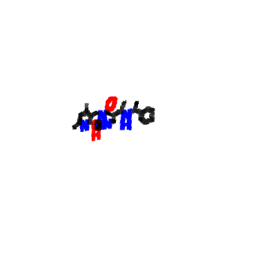 C/C(NC(C)c1ccccc1)=C(/C=N)C(=O)NCc1c(C)cc(C)nc1O